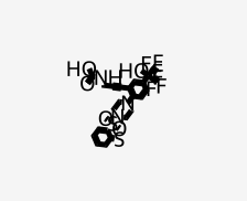 O=C(O)NCC#Cc1cc(C(O)(C(F)(F)F)C(F)(F)F)ccc1N1CCN(S(=O)(=O)C2=CC=CCC2=S)CC1